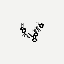 O=C(Nc1ccc2c(c1)C(N1CCN(C(=O)c3ccc4[nH]ccc4c3)CC1)c1ccccc1-2)Nc1ccccc1Cl